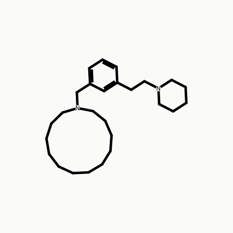 c1cc(CCN2CCCCC2)cc(CN2CCCCCCCCCCCC2)c1